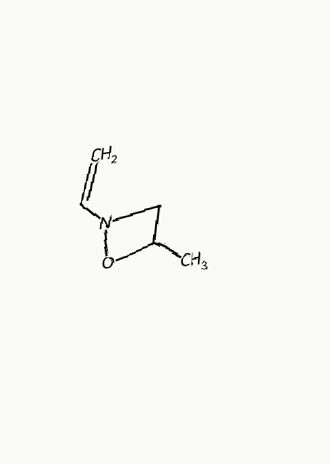 C=CN1CC(C)O1